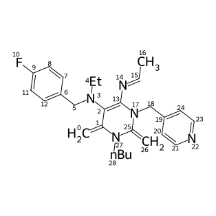 C=C1C(N(CC)Cc2ccc(F)cc2)=C(/N=C/C)N(Cc2ccncc2)C(=C)N1CCCC